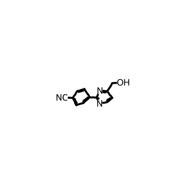 N#Cc1ccc(-c2nccc(CO)n2)cc1